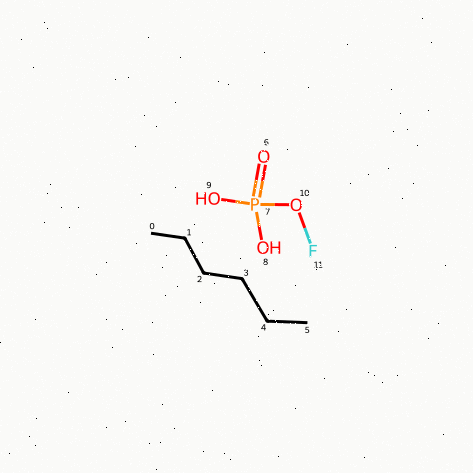 CCCCCC.O=P(O)(O)OF